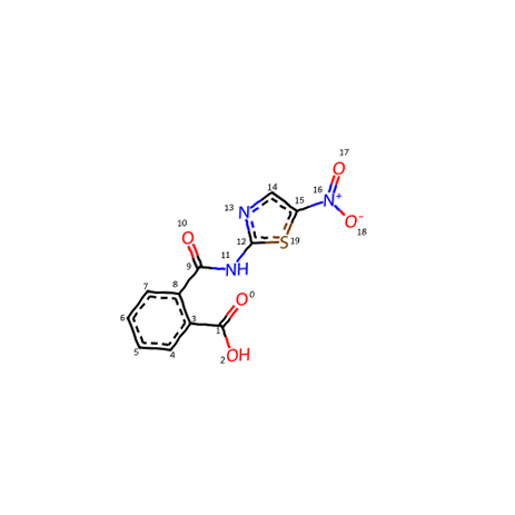 O=C(O)c1ccccc1C(=O)Nc1ncc([N+](=O)[O-])s1